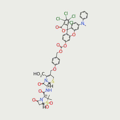 CN(c1ccccc1)c1ccc2c(c1)Oc1cc(OC(=O)OCc3ccc(OCC4=C(C(=O)O)N5C(=O)[C@@H](NC(=O)[C@@H]6N7C(=O)C[C@H]7S(=O)(=O)C6(C)C)[C@H]5SC4)cc3)ccc1C21OC(=O)c2c(Cl)c(Cl)c(Cl)c(Cl)c21